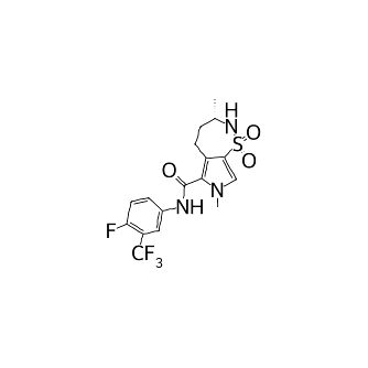 C[C@H]1CCc2c(cn(C)c2C(=O)Nc2ccc(F)c(C(F)(F)F)c2)S(=O)(=O)N1